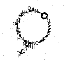 C=C1Nc2ccc(cc2)OCCCOc2ccc(cc2)CNc2nc(nc(OCC(F)(F)F)n2)Nc2ccc(cc2)C(=O)NCC(C)(C)CNC1=O